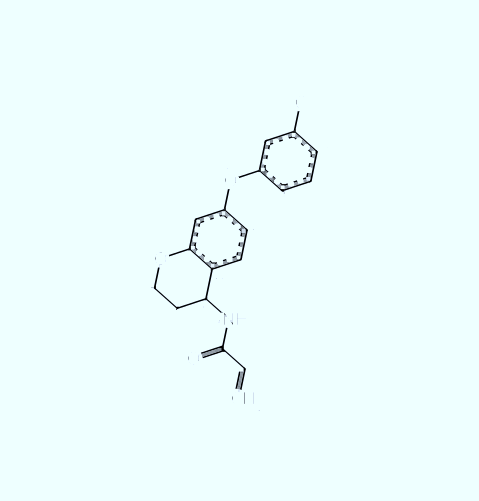 C=CC(=O)NC1CCOc2cc(Oc3cccc(Cl)c3)ccc21